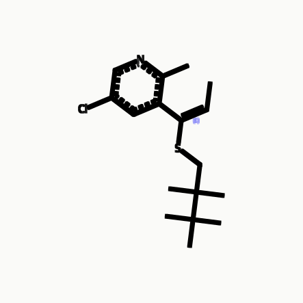 C/C=C(/SCC(C)(C)C(C)(C)C)c1cc(Cl)cnc1C